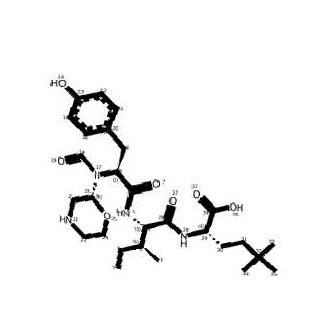 CC[C@H](C)[C@H](NC(=O)[C@H](Cc1ccc(O)cc1)N(C=O)[C@H]1CNCCO1)C(=O)N[C@@H](CCC(C)(C)C)C(=O)O